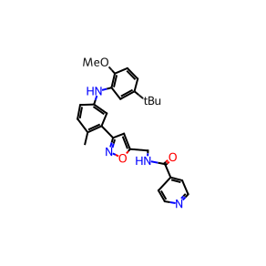 COc1ccc(C(C)(C)C)cc1Nc1ccc(C)c(-c2cc(CNC(=O)c3ccncc3)on2)c1